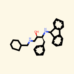 O[C@H](CNCC1CCCCC1)[C@H](Cc1ccccc1)NC1c2ccccc2-c2ccccc21